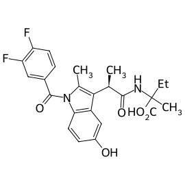 CCC(C)(NC(=O)[C@H](C)c1c(C)n(C(=O)c2ccc(F)c(F)c2)c2ccc(O)cc12)C(=O)O